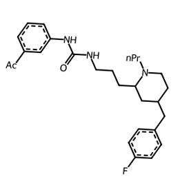 CCCN1CCC(Cc2ccc(F)cc2)CC1CCCNC(=O)Nc1cccc(C(C)=O)c1